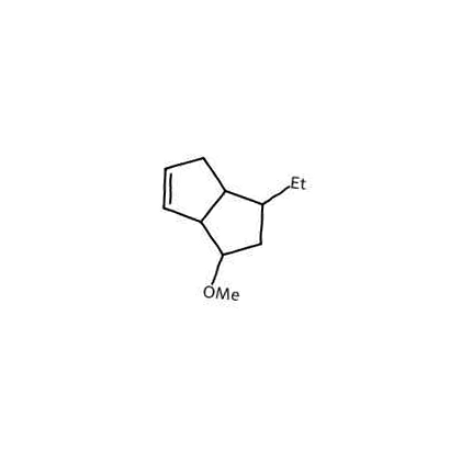 CCC1CC(OC)C2C=CCC12